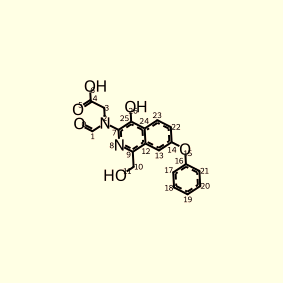 O=CN(CC(=O)O)c1nc(CO)c2cc(Oc3ccccc3)ccc2c1O